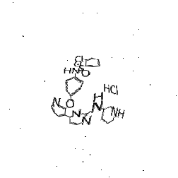 Cl.O=S(=O)(Nc1ccc(Oc2ncccc2-c2ccnc(N[C@H]3CCCNC3)n2)cc1)c1ccccc1Cl